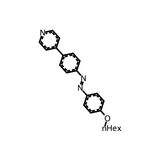 CCCCCCOc1ccc(/N=N/c2ccc(-c3ccncc3)cc2)cc1